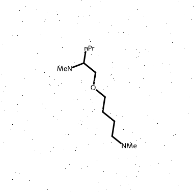 CCCC(COCCCCNC)NC